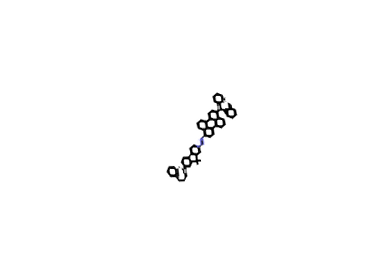 CC1(C)c2cc(/C=C/c3ccc4c5cccc6c(N7c8ccccc8Sc8ccccc87)ccc(c7cccc3c47)c65)ccc2-c2ccc(N3CCCc4ccccc43)cc21